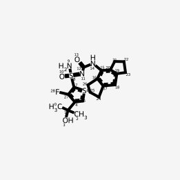 CC(C)(O)c1csc(S(N)(=O)=NC(=O)Nc2c3c(cc4c2CCC4)CCC3)c1F